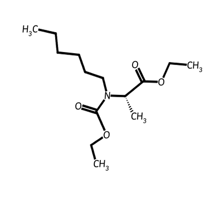 CCCCCCN(C(=O)OCC)[C@@H](C)C(=O)OCC